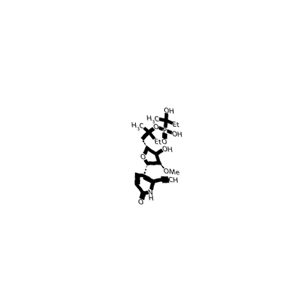 C#Cc1[nH]c(=O)ccc1[C@@H]1O[C@H](CC(C)(CC)OP(=O)(O)C(C)(O)CC)C(O)[C@@H]1OC